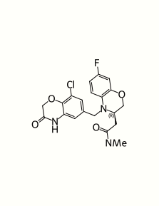 CNC(=O)C[C@@H]1COc2cc(F)ccc2N1Cc1cc(Cl)c2c(c1)NC(=O)CO2